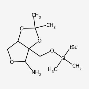 CC1(C)OC2COC(N)C2(CO[Si](C)(C)C(C)(C)C)O1